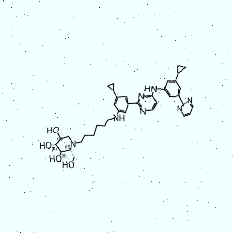 OC[C@@H]1[C@@H](O)[C@H](O)[C@@H](O)CN1CCCCCCNc1cc(-c2nccc(Nc3cc(-c4ncccn4)cc(C4CC4)c3)n2)cc(C2CC2)c1